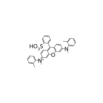 Cc1ccccc1N(C)c1ccc2c(-c3ccccc3S(=O)(=O)O)c3cc/c(=[N+](/C)c4ccccc4C)cc-3oc2c1